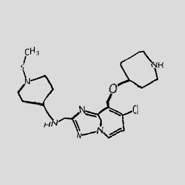 CSN1CCC(Nc2nc3c(OC4CCNCC4)c(Cl)ccn3n2)CC1